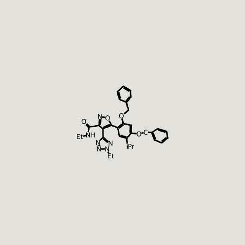 CCNC(=O)c1noc(-c2cc(C(C)C)c(OCc3ccccc3)cc2OCc2ccccc2)c1-c1nnn(CC)n1